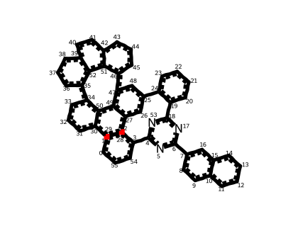 c1ccc(-c2nc(-c3ccc4ccccc4c3)nc(-c3ccccc3-c3cc4ccc5cccc6c7cccc8ccc9cccc(c(c3)c4c56)c9c87)n2)cc1